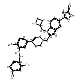 O=c1[nH]c(-c2cnc3c(c2)nc(CN2CC=C(c4ccc(F)c(OCc5ccc(Cl)cc5F)c4)CC2)n3CC2CCO2)no1